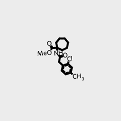 COC(=O)C1(NC(=O)Cc2ccc(C)cc2Cl)CCCCCC1